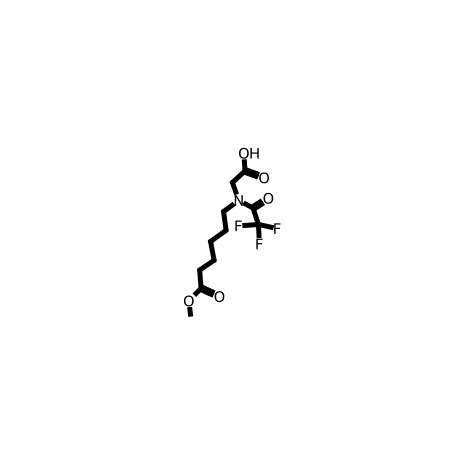 COC(=O)CCCCCN(CC(=O)O)C(=O)C(F)(F)F